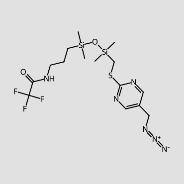 C[Si](C)(CCCNC(=O)C(F)(F)F)O[Si](C)(C)CSc1ncc(CN=[N+]=[N-])cn1